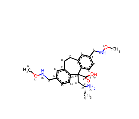 CONCc1ccc2c(c1)CCc1cc(CNOC)ccc1C2(C[C@@H](C)N)C(=O)O